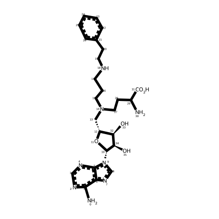 Nc1ncnc2c1ncn2[C@@H]1O[C@H](CN(CCCNCCc2ccccc2)CCC(N)C(=O)O)[C@@H](O)[C@H]1O